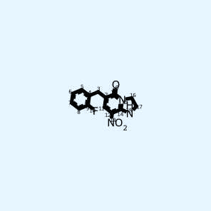 O=c1c(Cc2ccccc2F)cc([N+](=O)[O-])c2n1CCN2